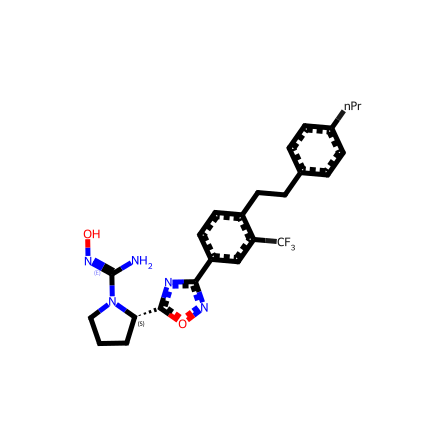 CCCc1ccc(CCc2ccc(-c3noc([C@@H]4CCCN4/C(N)=N/O)n3)cc2C(F)(F)F)cc1